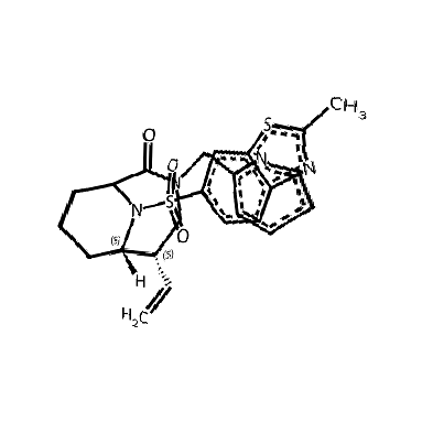 C=C[C@H]1CN(Cc2ccccn2)C(=O)C2CCC[C@@H]1N2S(=O)(=O)c1ccc2nc(C)sc2c1